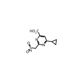 O=C(O)c1cc(C2CC2)nc(C[SH](=O)=O)n1